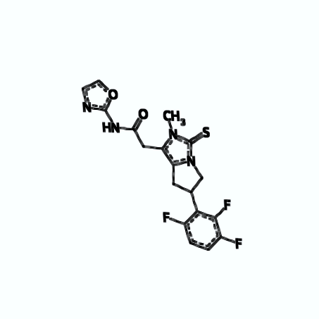 Cn1c(CC(=O)Nc2ncco2)c2n(c1=S)CC(c1c(F)ccc(F)c1F)C2